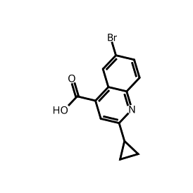 O=C(O)c1cc(C2CC2)nc2ccc(Br)cc12